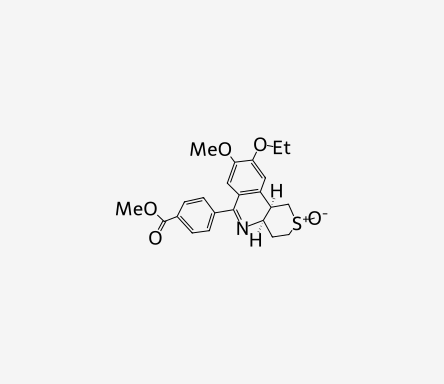 CCOc1cc2c(cc1OC)C(c1ccc(C(=O)OC)cc1)=N[C@@H]1CC[S+]([O-])C[C@H]21